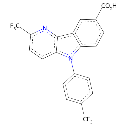 O=C(O)c1ccc2c(c1)c1nc(C(F)(F)F)ccc1n2-c1ccc(C(F)(F)F)cc1